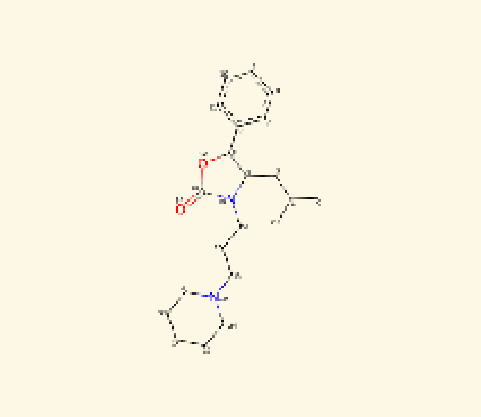 CC(C)CC1C(c2ccccc2)OC(=O)N1CCCN1CCCCC1